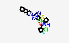 O=C(NC1=CC=CC(Sc2ccc3nc(N4CCC5(CC4)Cc4ccccc4C5)c4cnc2n34)C1Cl)c1cccc(F)c1Cl